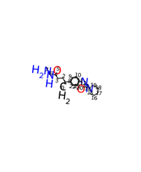 C=C(CCC(=O)NN)c1ccc2nc(N3CCCCC3)oc2c1